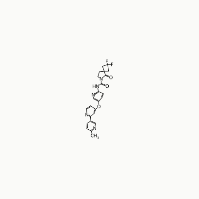 Cc1ccc(-c2cc(Oc3ccc(NC(=O)N4CCC5(CC(F)(F)C5)C4=O)nc3)ccn2)cn1